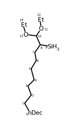 CCCCCCCCCCCCCCCCCC([SiH3])C(OCC)OCC